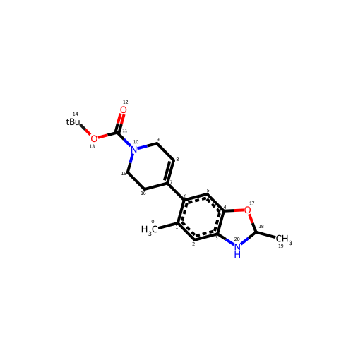 Cc1cc2c(cc1C1=CCN(C(=O)OC(C)(C)C)CC1)OC(C)N2